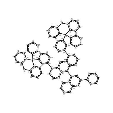 c1ccc(-c2cc(-c3c4cccc(-c5cccc(C6(c7ccccc7)c7ccccc7Oc7ccccc76)c5)c4cc4c(-c5cccc(C6(c7ccccc7)c7ccccc7Oc7ccccc76)c5)cccc34)c3ccccc3c2)cc1